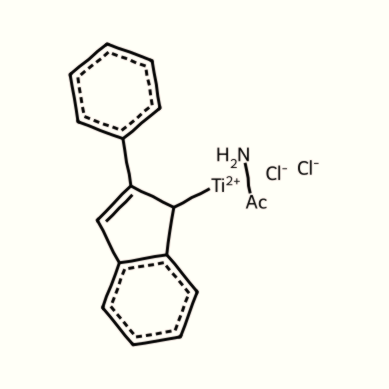 CC(N)=O.[Cl-].[Cl-].[Ti+2][CH]1C(c2ccccc2)=Cc2ccccc21